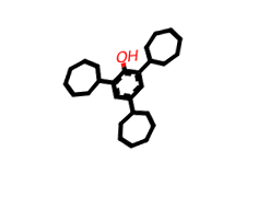 Oc1c(C2CCCCCC2)cc(C2CCCCCC2)cc1C1CCCCCC1